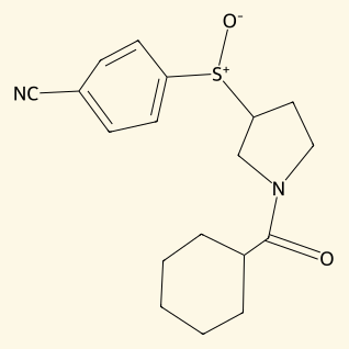 N#Cc1ccc([S+]([O-])C2CCN(C(=O)C3CCCCC3)C2)cc1